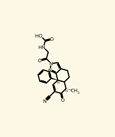 C[C@@H]1C(=O)C(C#N)=C[C@]2(c3ccccc3)c3nn(C(=O)CNC(=O)O)cc3CCC12